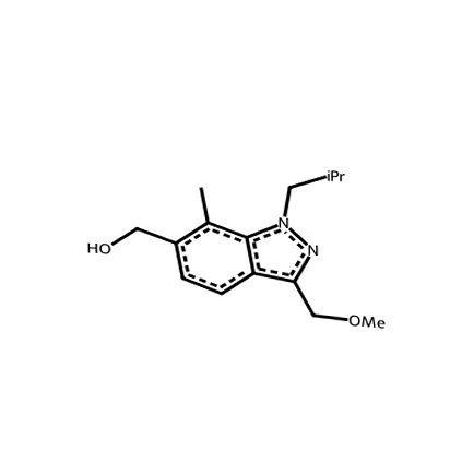 COCc1nn(CC(C)C)c2c(C)c(CO)ccc12